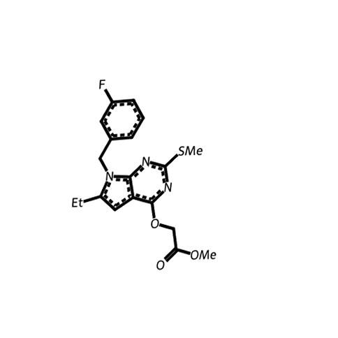 CCc1cc2c(OCC(=O)OC)nc(SC)nc2n1Cc1cccc(F)c1